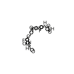 O=C1CCC(Nc2ccc(N3CCN(C(=O)N4CCC(COc5cc(F)c6c(=O)[nH]c(CSC7CCOCC7)nc6c5)CC4)CC3)c(F)c2)C(=O)N1